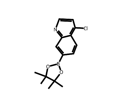 CC1(C)OB(c2ccc3c(Cl)ccnc3c2)OC1(C)C